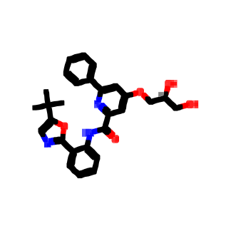 CC(C)(C)c1cnc(-c2ccccc2NC(=O)c2cc(OC[C@@H](O)CO)cc(-c3ccccc3)n2)o1